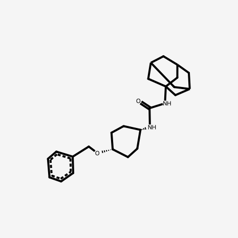 O=C(NC12CC3CC(CC(C3)C1)C2)N[C@H]1CC[C@@H](OCc2ccccc2)CC1